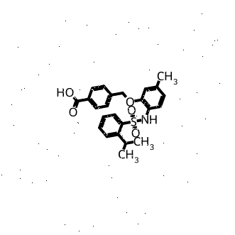 Cc1ccc(NS(=O)(=O)c2ccccc2C(C)C)c(OCc2ccc(C(=O)O)cc2)c1